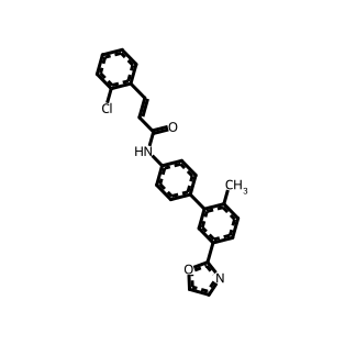 Cc1ccc(-c2ncco2)cc1-c1ccc(NC(=O)C=Cc2ccccc2Cl)cc1